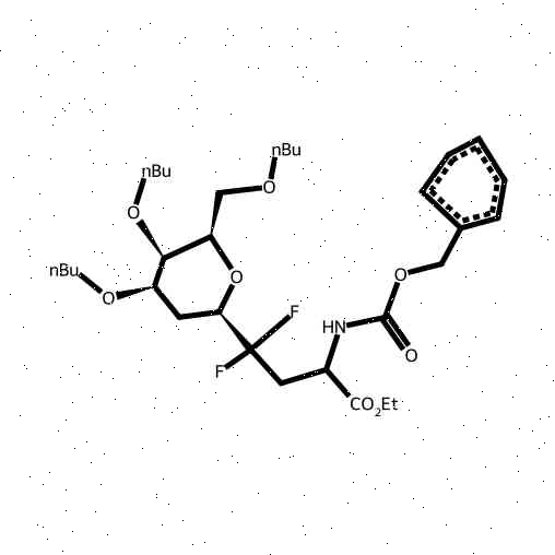 CCCCOC[C@H]1O[C@@H](C(F)(F)CC(NC(=O)OCc2ccccc2)C(=O)OCC)C[C@@H](OCCCC)[C@H]1OCCCC